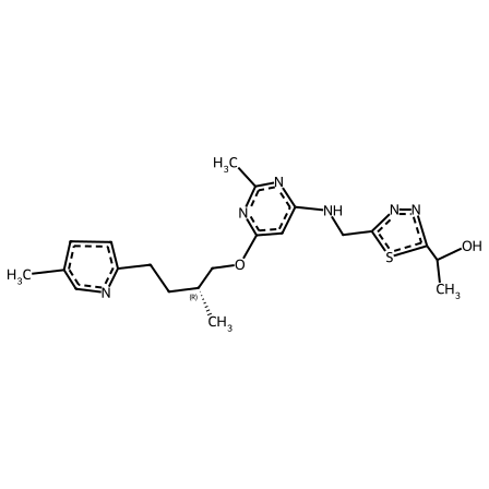 Cc1ccc(CC[C@@H](C)COc2cc(NCc3nnc(C(C)O)s3)nc(C)n2)nc1